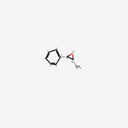 [SiH3][C@H]1O[C@H]1c1ccccc1